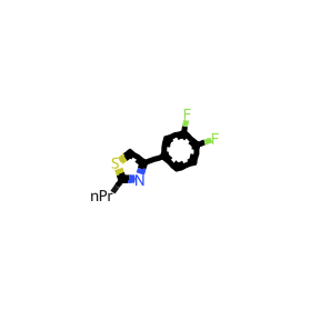 CCCc1nc(-c2ccc(F)c(F)c2)cs1